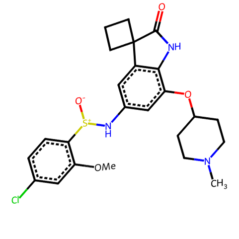 COc1cc(Cl)ccc1[S+]([O-])Nc1cc(OC2CCN(C)CC2)c2c(c1)C1(CCC1)C(=O)N2